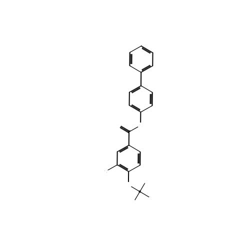 Nc1cc(C(=O)Nc2ccc(-c3ccccc3)cc2)ccc1OC(F)(F)F